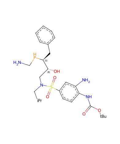 CC(C)CN(C[C@@H](O)[C@H](Cc1ccccc1)PCN)S(=O)(=O)c1ccc(NC(=O)OC(C)(C)C)c(N)c1